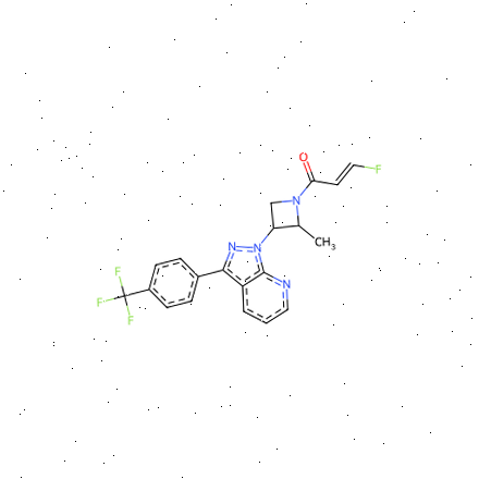 CC1C(n2nc(-c3ccc(C(F)(F)F)cc3)c3cccnc32)CN1C(=O)C=CF